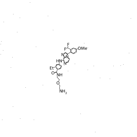 CCc1cc(Nc2nccn3c(-c4ccc(OC)cc4C(F)F)cnc23)ccc1C(=O)NCCOCCN